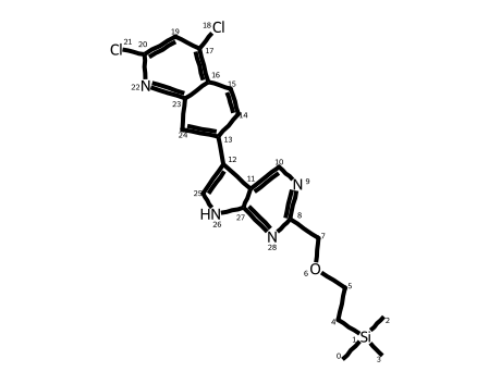 C[Si](C)(C)CCOCc1ncc2c(-c3ccc4c(Cl)cc(Cl)nc4c3)c[nH]c2n1